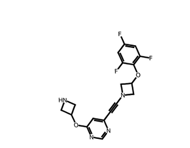 Fc1cc(F)c(OC2CN(C#Cc3cc(OC4CNC4)ncn3)C2)c(F)c1